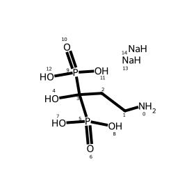 NCCC(O)(P(=O)(O)O)P(=O)(O)O.[NaH].[NaH]